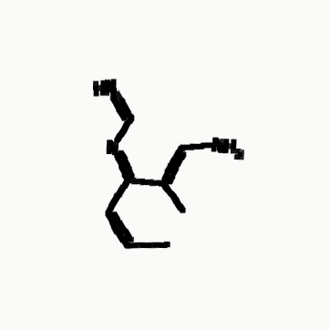 C\C=C/C(=N/C=N)C(/C)=C/N